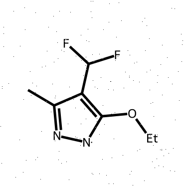 CCOC1=C(C(F)F)C(C)=N[N]1